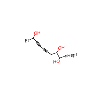 CCCCCCCC(O)C(O)CC#CC#CC(O)CC